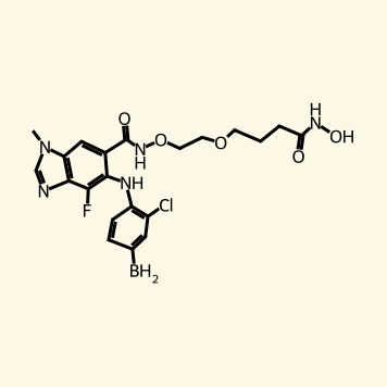 Bc1ccc(Nc2c(C(=O)NOCCOCCCC(=O)NO)cc3c(ncn3C)c2F)c(Cl)c1